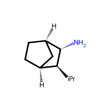 CC(C)[C@H]1[C@H]2CC[C@H](C2)[C@@H]1N